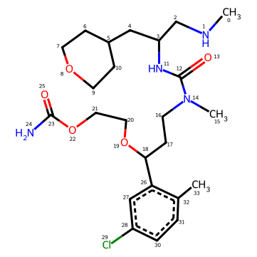 CNCC(CC1CCOCC1)NC(=O)N(C)CCC(OCCOC(N)=O)c1cc(Cl)ccc1C